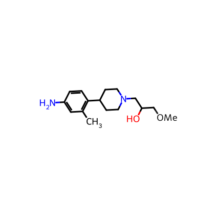 COCC(O)CN1CCC(c2ccc(N)cc2C)CC1